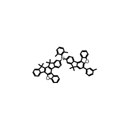 Cc1cccc(-c2cc3c(c4c2oc2ccccc24)-c2ccc(N(c4ccc5c(c4)C(C)(C)c4c6c(c7oc8ccccc8c7c4-5)-c4ccccc4C6(C)C)c4c(C)cccc4C)cc2C3(C)C)c1